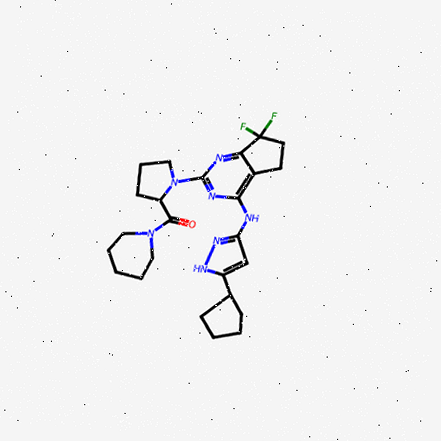 O=C(C1CCCN1c1nc(Nc2cc(C3CCCC3)[nH]n2)c2c(n1)C(F)(F)CC2)N1CCCCC1